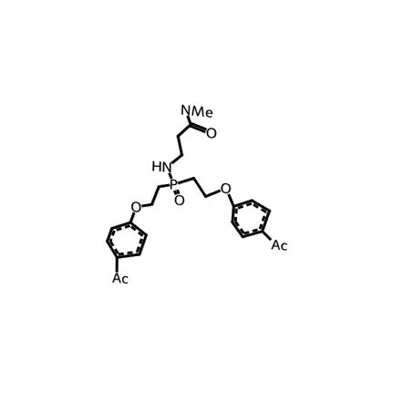 CNC(=O)CCNP(=O)(CCOc1ccc(C(C)=O)cc1)CCOc1ccc(C(C)=O)cc1